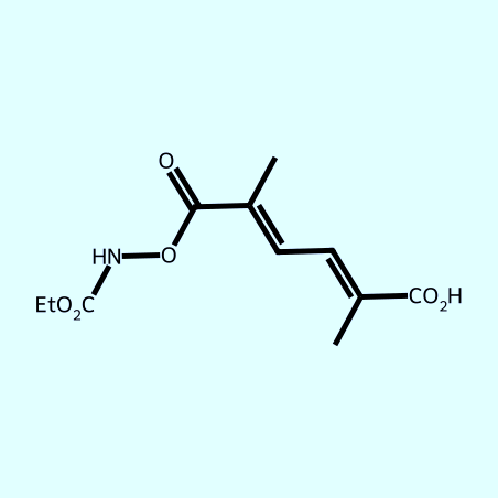 CCOC(=O)NOC(=O)C(C)=CC=C(C)C(=O)O